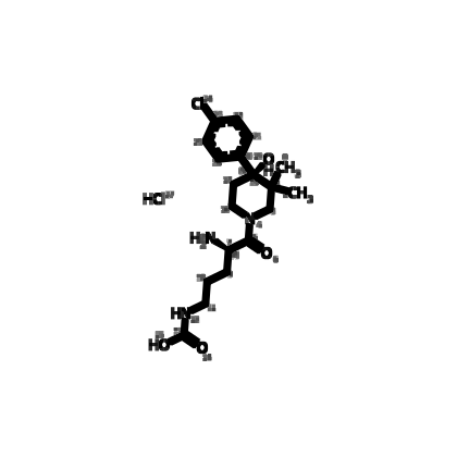 CC1(C)CN(C(=O)[C@H](N)CCCNC(=O)O)CC[C@]1(O)c1ccc(Cl)cc1.Cl